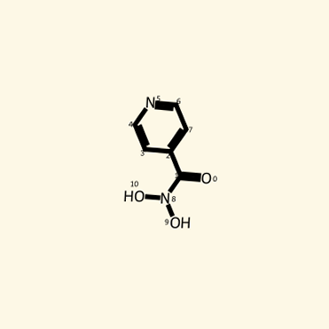 O=C(c1ccncc1)N(O)O